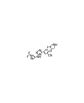 N#Cc1cc(-c2ncnc(Nc3cnn(C(F)F)c3)n2)ccc1OC1CCNC[C@H]1F